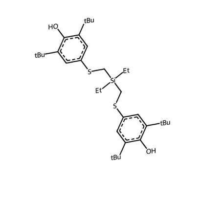 CC[Si](CC)(CSc1cc(C(C)(C)C)c(O)c(C(C)(C)C)c1)CSc1cc(C(C)(C)C)c(O)c(C(C)(C)C)c1